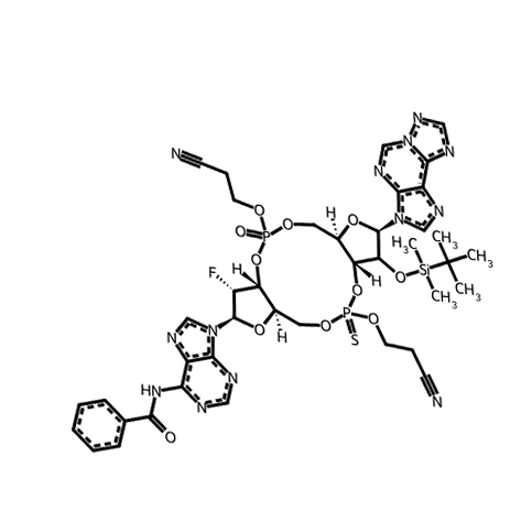 CC(C)(C)[Si](C)(C)OC1[C@H](n2cnc3c2ncn2ncnc32)O[C@@H]2COP(=O)(OCCC#N)O[C@H]3[C@@H](F)[C@H](n4cnc5c(NC(=O)c6ccccc6)ncnc54)O[C@@H]3COP(=S)(OCCC#N)O[C@@H]12